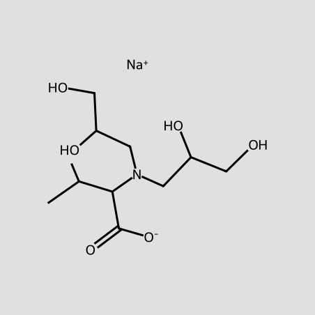 CC(C)C(C(=O)[O-])N(CC(O)CO)CC(O)CO.[Na+]